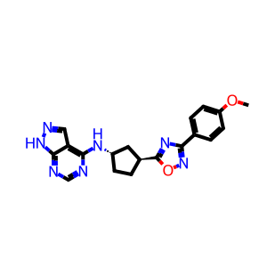 COc1ccc(-c2noc([C@H]3CC[C@H](Nc4ncnc5[nH]ncc45)C3)n2)cc1